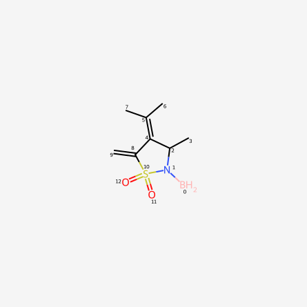 BN1C(C)C(=C(C)C)C(=C)S1(=O)=O